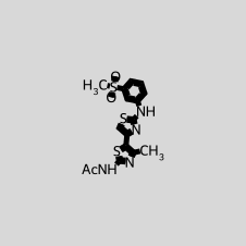 CC(=O)Nc1nc(C)c(-c2csc(Nc3cccc(S(C)(=O)=O)c3)n2)s1